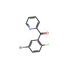 O=C(c1ccccn1)c1cc(Br)ccc1F